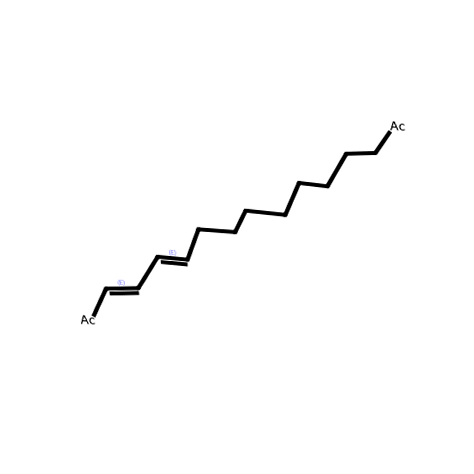 CC(=O)/C=C/C=C/CCCCCCCCC(C)=O